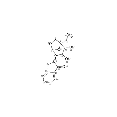 NC[C@@]12COC(O1)[C@H](N1Cc3ccccc3C1=O)C(O)[C@H]2O